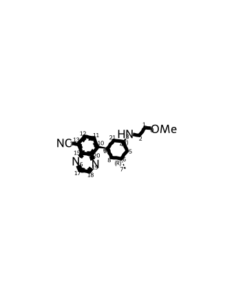 COCCN[C@@H]1C[C@H](C)C[C@@H](c2ccc(C#N)c3nccnc23)C1